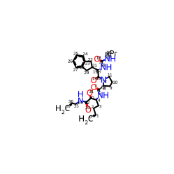 C=CCCC(NC(=O)[C@@H]1CCCN1C(=O)[C@@H](NC(=O)NCCC)C1Cc2ccccc2C1)C(=O)C(=O)NCC=C